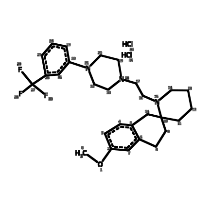 COc1ccc2c(c1)CCC1(CCCCN1CCN1CCN(c3cccc(C(F)(F)F)c3)CC1)C2.Cl.Cl